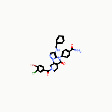 NC(=O)c1ccc(-n2c(=O)c3c(n4ncc(NCc5ccccc5)c24)CN(C(=O)c2ccc(Br)c(Cl)c2)CC3)cc1